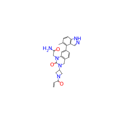 C=CC(=O)N1CC(N2Cc3ccc(-c4c(C)ccc5[nH]ncc45)cc3N(CC(N)=O)C2=O)C1